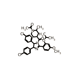 COc1ccc(C2=NC(c3ccc(Cl)cc3)C(c3ccc(Cl)cc3)N2C(=O)C2CCN(C(C)=O)C(C)C2)c(OC(C)C)c1